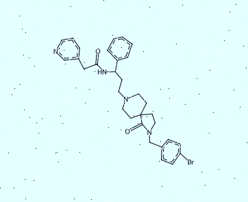 O=C(Cc1cccnc1)NC(CCN1CCC2(CC1)CCN(Cc1ccc(Br)cc1)C2=O)c1ccccc1